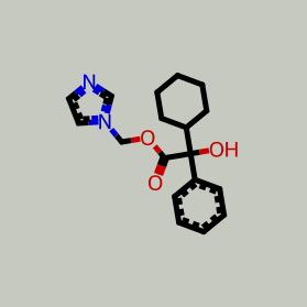 O=C(OCn1ccnc1)C(O)(c1ccccc1)C1CCCCC1